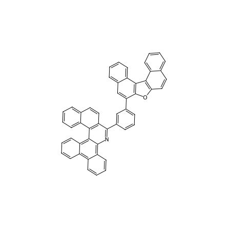 c1cc(-c2nc3c4ccccc4c4ccccc4c3c3c2ccc2ccccc23)cc(-c2cc3ccccc3c3c2oc2ccc4ccccc4c23)c1